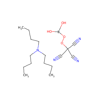 CCCCN(CCCC)CCCC.N#CC(C#N)(C#N)OOB(O)O